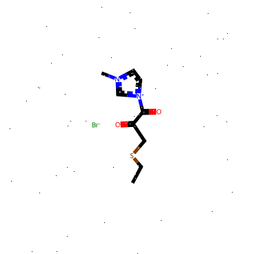 CCSCC(=O)C(=O)[n+]1ccn(C)c1.[Br-]